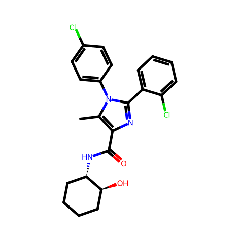 Cc1c(C(=O)N[C@H]2CCCC[C@@H]2O)nc(-c2ccccc2Cl)n1-c1ccc(Cl)cc1